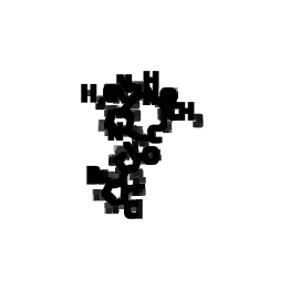 C[C@@H]1CCC[C@H](n2ccc(-c3c(Br)ccc(Cl)c3F)cc2=O)c2cc(ccn2)-c2c(cnn2C)NC1=O